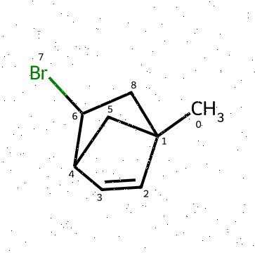 CC12C=CC(C1)C(Br)C2